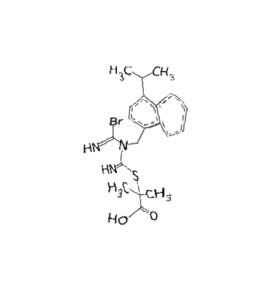 CC(C)c1ccc(CN(C(=N)Br)C(=N)SC(C)(C)C(=O)O)c2ccccc12